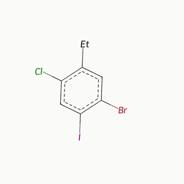 [CH2]Cc1cc(Br)c(I)cc1Cl